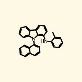 Cc1ccccc1Nc1cccc2c3ccccc3n(-c3cccc4ccccc34)c12